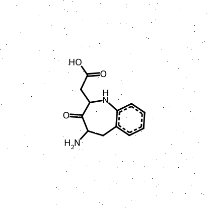 NC1Cc2ccccc2NC(CC(=O)O)C1=O